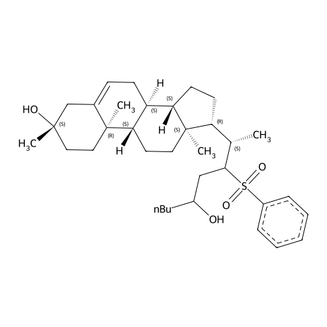 CCCCC(O)CC([C@@H](C)[C@H]1CC[C@H]2[C@@H]3CC=C4C[C@@](C)(O)CC[C@]4(C)[C@H]3CC[C@]12C)S(=O)(=O)c1ccccc1